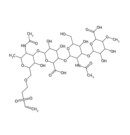 C=CS(=O)(=O)CCOCC1OC(C)C(NC(C)=O)C(OC2OC(C(=O)O)C(OC3OC(CO)C(O)C(OC4OC(C(=O)O)C(OC)C(O)C4O)C3NC(C)=O)C(O)C2O)C1O